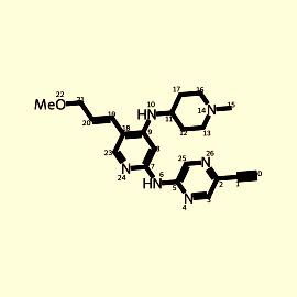 C#Cc1cnc(Nc2cc(NC3CCN(C)CC3)c(/C=C/COC)cn2)cn1